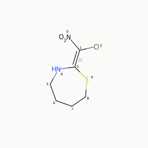 O=[N+]([O-])/C(Cl)=C1\NCCCCS1